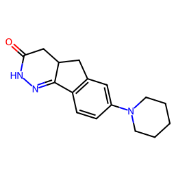 O=C1CC2Cc3cc(N4CCCCC4)ccc3C2=NN1